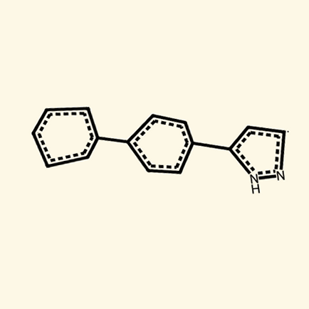 [c]1cc(-c2ccc(-c3ccccc3)cc2)[nH]n1